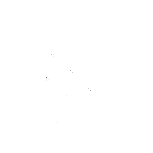 Cc1ccc(N(C(N)=O)c2ncc(C(C)C)s2)cc1O